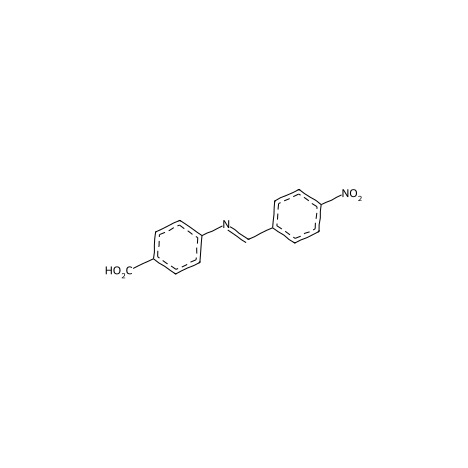 O=C(O)c1ccc(N=Cc2ccc([N+](=O)[O-])cc2)cc1